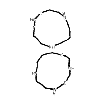 C1CCNCCNCCNCC1.C1CNCCCNCCCNC1